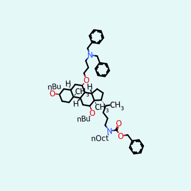 CCCCCCCCN(CCCC(C)[C@H]1CC[C@H]2C3[C@H](OCCCN(Cc4ccccc4)Cc4ccccc4)C[C@@H]4C[C@H](OCCCC)CC[C@]4(C)[C@H]3C[C@H](OCCCC)[C@]12C)C(=O)OCc1ccccc1